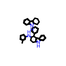 Cc1cccc(NC2CCc3[nH]c4ccccc4c3C2c2ccccc2)c1.c1ccc2c3c([nH]c2c1)CCCC3